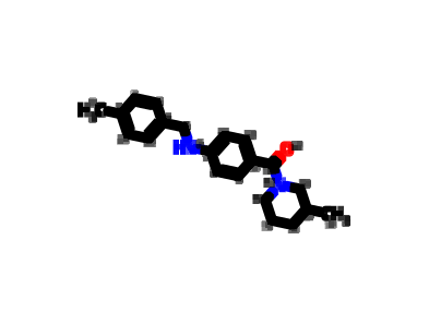 Cc1ccc(CNc2ccc(C(=O)N3CCCC(C)C3)cc2)cc1